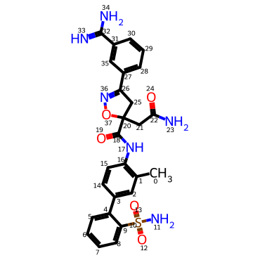 Cc1cc(-c2ccccc2S(N)(=O)=O)ccc1NC(=O)C1(CC(N)=O)CC(c2cccc(C(=N)N)c2)=NO1